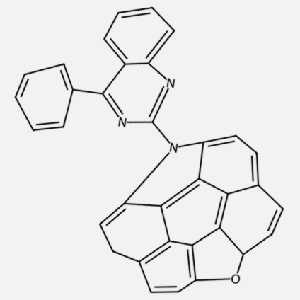 C1=CC2Oc3ccc4c5c3c2c2c1ccc1c2c5c(n1-c1nc(-c2ccccc2)c2ccccc2n1)=CC4